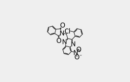 O=C1c2ccccc2C(=O)N1Cc1nc2cccc([N+](=O)[O-])c2nc1-c1ccccc1Cl